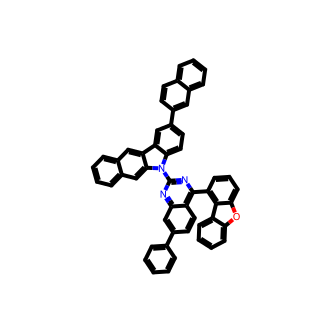 c1ccc(-c2ccc3c(-c4cccc5oc6ccccc6c45)nc(-n4c5ccc(-c6ccc7ccccc7c6)cc5c5cc6ccccc6cc54)nc3c2)cc1